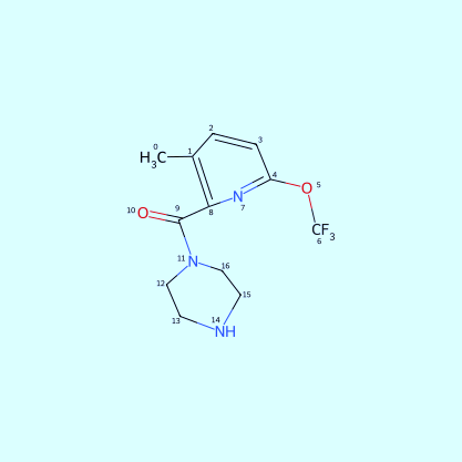 Cc1ccc(OC(F)(F)F)nc1C(=O)N1CCNCC1